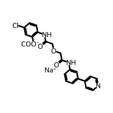 O=C(COCC(=O)Nc1ccc(Cl)cc1C(=O)[O-])Nc1cccc(-c2ccncc2)c1.[Na+]